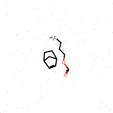 C1=CC2CCC1C2.CCCCOC=O